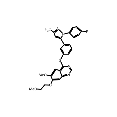 COCCOc1cc2ncnc(Sc3cccc(-c4cc(C(F)(F)F)nn4-c4ccc(F)cc4)c3)c2cc1OC